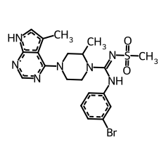 Cc1c[nH]c2ncnc(N3CCN(C(=NS(C)(=O)=O)Nc4cccc(Br)c4)C(C)C3)c12